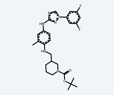 Cc1cc(Nc2ncn(-c3cc(F)cc(F)c3)n2)ccc1NCC1CCCN(C(=O)OC(C)(C)C)C1